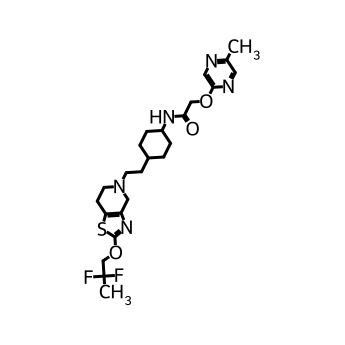 Cc1cnc(OCC(=O)NC2CCC(CCN3CCc4sc(OCC(C)(F)F)nc4C3)CC2)cn1